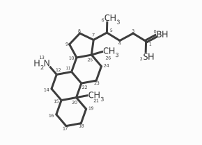 B=C(S)CCC(C)C1CCC2C3C(N)CC4CCCCC4(C)C3CCC12C